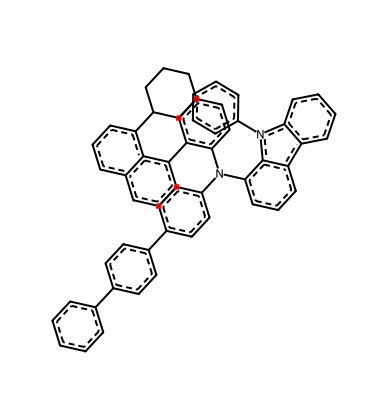 c1ccc(-c2ccc(-c3ccc(N(c4ccccc4-c4cccc5cccc(C6CCCCC6)c45)c4cccc5c6ccccc6n(-c6ccccc6)c45)cc3)cc2)cc1